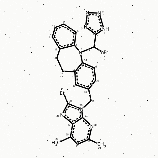 CCCC(c1nnn[nH]1)N1c2ccccc2CCc2cc(Cn3c(CC)nc4c(C)cc(C)nc43)ccc21